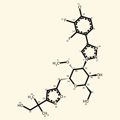 CO[C@@H]1[C@@H](n2cc(-c3ccc(Cl)c(F)c3F)nn2)[C@@H](O)[C@@H](CO)O[C@@H]1Cc1cc(C(C)(C)CO)no1